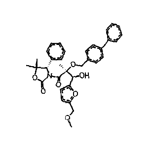 COCc1ccc([C@H](O)[C@](C)(OCc2ccc(-c3ccccc3)cc2)C(=O)N2C(=O)OC(C)(C)[C@@H]2c2ccccc2)o1